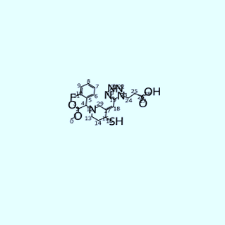 COC(=O)C(c1ccccc1F)N1CCC(S)C(=Cc2nnnn2CCC(=O)O)C1